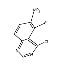 O=[N+]([O-])c1ccc2ncnc(Cl)c2c1F